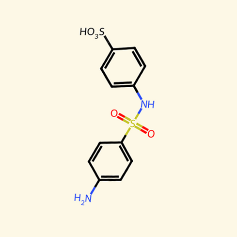 Nc1ccc(S(=O)(=O)Nc2ccc(S(=O)(=O)O)cc2)cc1